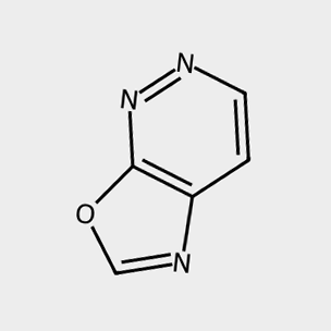 c1cc2ncoc2nn1